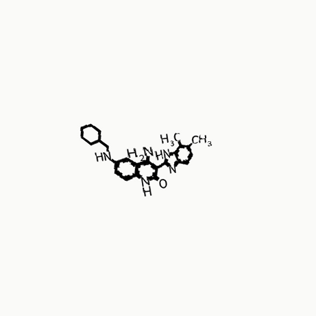 Cc1ccc2nc(-c3c(N)c4cc(NCC5CCCCC5)ccc4[nH]c3=O)[nH]c2c1C